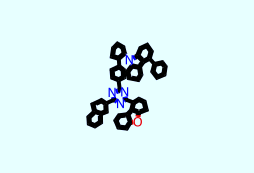 c1ccc(-c2cccc3c2c2ccccc2n3-c2ccccc2-c2ccc(-c3nc(-c4ccc5ccccc5c4)nc(-c4cccc5oc6ccccc6c45)n3)cc2)cc1